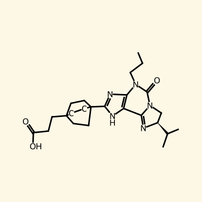 CCCN1C(=O)N2C[C@@H](C(C)C)N=C2c2[nH]c(C34CCC(CCC(=O)O)(CC3)CC4)nc21